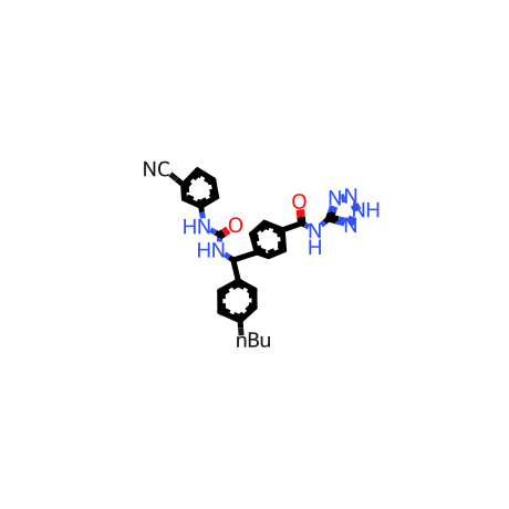 CCCCc1ccc(C(NC(=O)Nc2cccc(C#N)c2)c2ccc(C(=O)Nc3nn[nH]n3)cc2)cc1